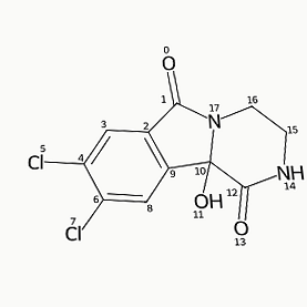 O=C1c2cc(Cl)c(Cl)cc2C2(O)C(=O)NCCN12